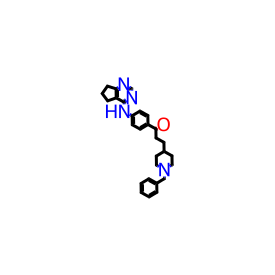 O=C(CCC1CCN(Cc2ccccc2)CC1)c1ccc(Nc2ncnc3c2CCC3)cc1